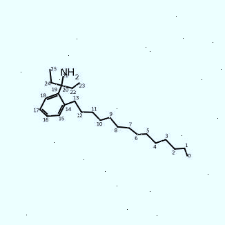 CCCCCCCCCCCCCCc1ccccc1C(N)(CC)CC